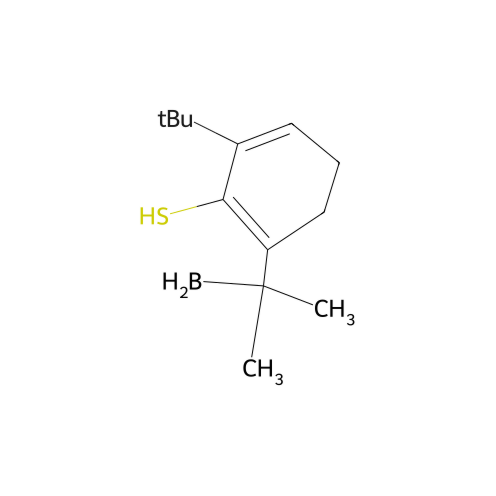 BC(C)(C)C1=C(S)C(C(C)(C)C)=CCC1